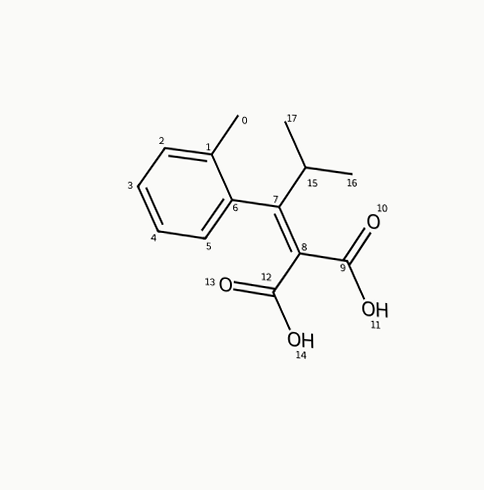 Cc1ccccc1C(=C(C(=O)O)C(=O)O)C(C)C